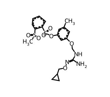 Cc1cc(OCNC(N)=NOCC2CC2)cc(OS(=O)(=O)c2ccccc2S(C)(=O)=O)c1